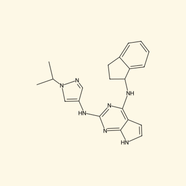 CC(C)n1cc(Nc2nc(NC3CCc4ccccc43)c3cc[nH]c3n2)cn1